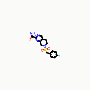 NC(=O)c1n[c]c2c(n1)CN(S(=O)(=O)Cc1ccc(F)cc1)CC2